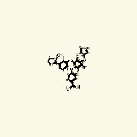 CN1CCN=C1c1cccc(Oc2nc(Oc3cc(C(=N)N)ccc3O)c(F)c(OC3CCNC3)c2F)c1